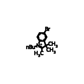 CCCC[N+]1=C(C)C(C)(C)c2cc(Br)ccc21